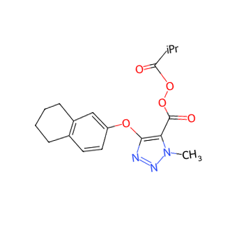 CC(C)C(=O)OOC(=O)c1c(Oc2ccc3c(c2)CCCC3)nnn1C